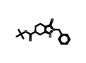 CC(C)(C)OC(=O)N1CCc2c([nH]n(Cc3ccccc3)c2=O)C1